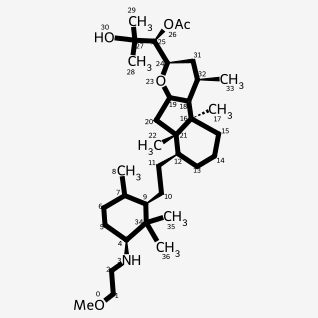 COCCN[C@H]1CCC(C)[C@@H](CC[C@@H]2CCC[C@]3(C)C4C(C[C@@]23C)O[C@@H]([C@H](OC(C)=O)C(C)(C)O)C[C@H]4C)C1(C)C